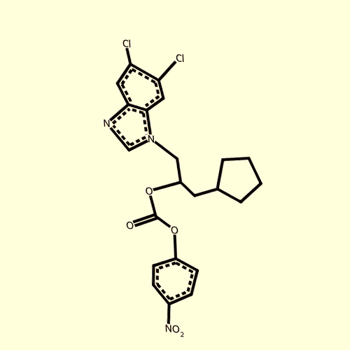 O=C(Oc1ccc([N+](=O)[O-])cc1)OC(CC1CCCC1)Cn1cnc2cc(Cl)c(Cl)cc21